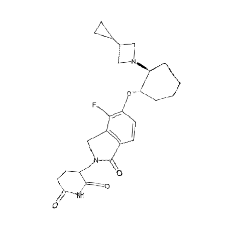 O=C1CCC(N2Cc3c(ccc(O[C@H]4CCCC[C@@H]4N4CC(C5CC5)C4)c3F)C2=O)C(=O)N1